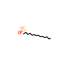 CCCCCCCCCCCCCC[PH2+][O-]